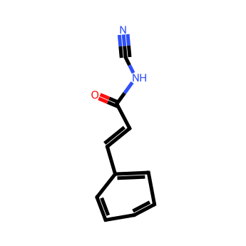 N#CNC(=O)C=Cc1ccccc1